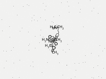 C=C(CCCC1CCN(C(=C)[C@H](Cc2cccc(C(=N)N)c2)NS(=O)(=O)c2cccc(-c3ccc(OC)cc3OC)c2)CC1)NC